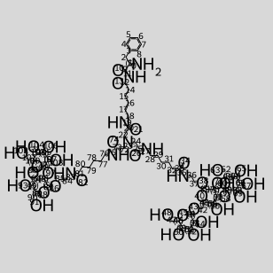 N[C@@H](Cc1ccccc1)C(=O)NC(=O)CCCCCNC(=O)CN(CC(=O)NCCCCCC(=O)NCCO[C@H]1O[C@H](CO[C@H]2O[C@H](CO)[C@@H](O)[C@H](O)[C@@H]2O)[C@@H](O)[C@H](O[C@H]2O[C@H](CO)[C@@H](O)[C@H](O)[C@@H]2O)[C@@H]1O)CC(=O)NCCCCCC(=O)NCCO[C@H]1O[C@H](CO)[C@@H](O)[C@H](O)[C@@H]1O[C@H]1O[C@H](CO)[C@@H](O)[C@H](O)[C@@H]1O